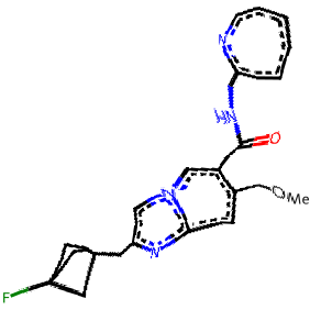 COc1cc2nc(C34CC(F)(C3)C4)cn2cc1C(=O)Nc1ccccn1